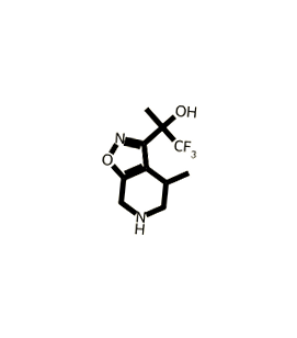 CC1CNCc2onc(C(C)(O)C(F)(F)F)c21